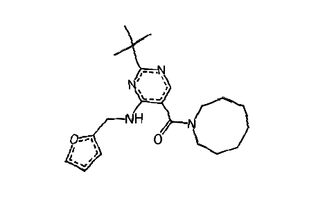 CC(C)(C)c1ncc(C(=O)N2CCCCCCC2)c(NCc2ccco2)n1